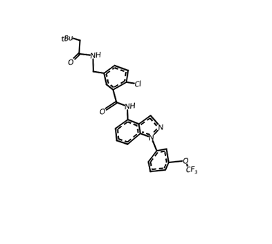 CC(C)(C)CC(=O)NCc1ccc(Cl)c(C(=O)Nc2cccc3c2cnn3-c2cccc(OC(F)(F)F)c2)c1